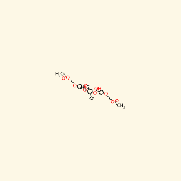 C=CC(=O)OCCCCOc1ccc(C(=O)Oc2cc(C3CCC3)c(OC(O)c3ccc(OCCCCOC(=O)C=C)cc3)cc2C)cc1